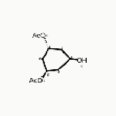 CC(=O)O[C@@H]1CC(O)C[C@@H](OC(C)=O)C1